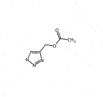 CC(=O)OCC1=C[N]N=N1